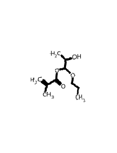 [CH2]C(O)C(OCCC)OC(=O)C(=C)C